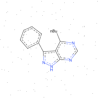 CCCCc1ncnc2[nH]nc(-c3ccccc3)c12